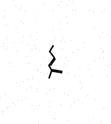 C=C(C)/C=C/[CH]C